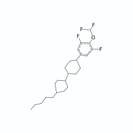 CCCCCC1CCC(C2CCC(c3cc(F)c(OC(F)F)c(F)c3)CC2)CC1